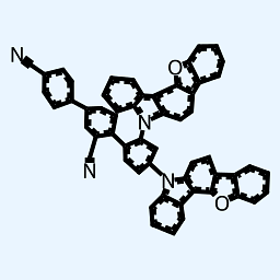 N#Cc1ccc(-c2ccc(-c3ccc(-n4c5ccccc5c5c6oc7ccccc7c6ccc54)cc3-n3c4ccccc4c4c5oc6ccccc6c5ccc43)c(C#N)c2)cc1